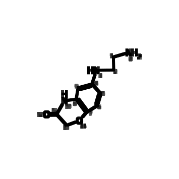 NCCNc1ccc2c(c1)NC(=O)CO2